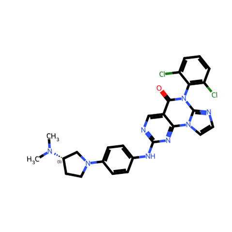 CN(C)[C@H]1CCN(c2ccc(Nc3ncc4c(=O)n(-c5c(Cl)cccc5Cl)c5nccn5c4n3)cc2)C1